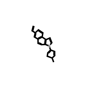 C=Cc1ccc2c(ccc3c2ccn3C2=CCC(C)C=C2)c1